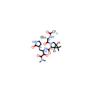 CN(C)C(=O)C(=O)C(C[C@@H]1CCNC1=O)NC(=O)[C@@H]1[C@@H]2[C@H](CN1C(=O)[C@@H](NC(=O)C(F)(F)F)C(C)(C)C)C2(C)C